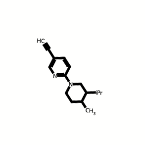 C#Cc1ccc(N2CCC(C)C(C(C)C)C2)nc1